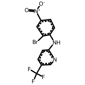 O=[N+]([O-])c1ccc(Nc2ccc(C(F)(F)F)cn2)c(Br)c1